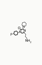 NCCCc1cn(-c2ccc(F)cc2)c(=O)c(N2CCCCC2)n1